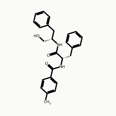 Cc1ccc(C(=O)N[C@@H](Cc2ccccc2)C(=O)N[C@H](CO)Cc2ccccc2)cc1